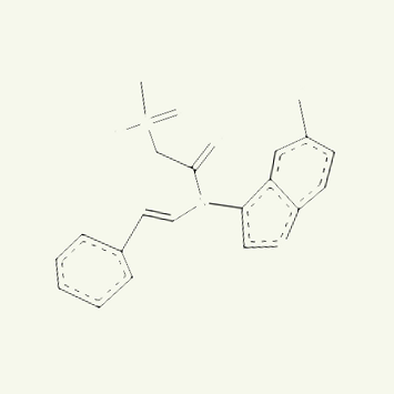 CP(=O)(O)CC(=O)N(/C=C/c1ccccc1)c1csc2ccc(Cl)cc12